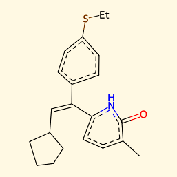 CCSc1ccc(C(=CC2CCCC2)c2ccc(C)c(=O)[nH]2)cc1